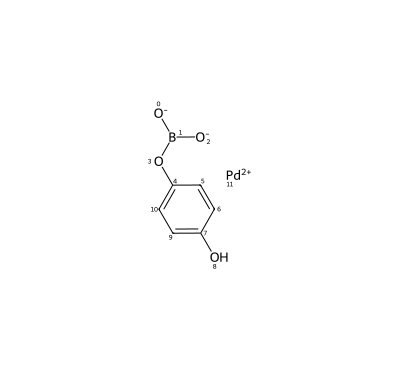 [O-]B([O-])Oc1ccc(O)cc1.[Pd+2]